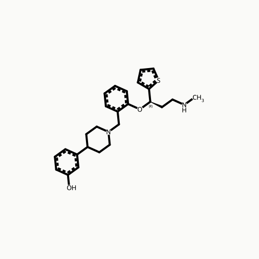 CNCC[C@@H](Oc1ccccc1CN1CCC(c2cccc(O)c2)CC1)c1cccs1